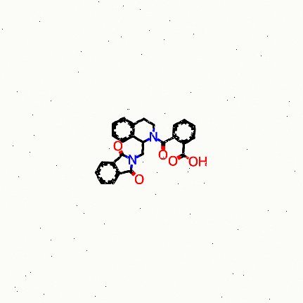 O=C(O)c1ccccc1C(=O)N1CCc2ccccc2C1CN1C(=O)c2ccccc2C1=O